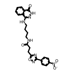 O=C(CCc1nc(-c2ccc([N+](=O)[O-])cc2)no1)NCCCCNc1n[nH]c(=O)c2ccccc12